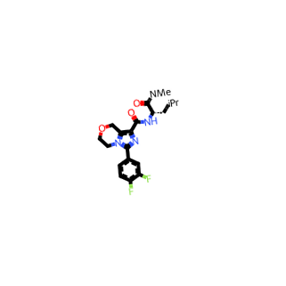 CNC(=O)[C@H](CC(C)C)NC(=O)c1nc(-c2ccc(F)c(F)c2)n2c1COCC2